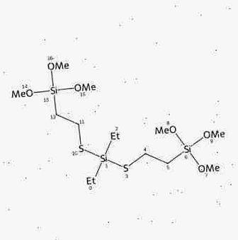 CC[Si](CC)(SCC[Si](OC)(OC)OC)SCC[Si](OC)(OC)OC